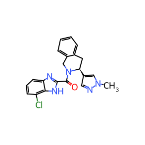 Cn1cc([C@@H]2Cc3ccccc3CN2C(=O)c2nc3cccc(Cl)c3[nH]2)cn1